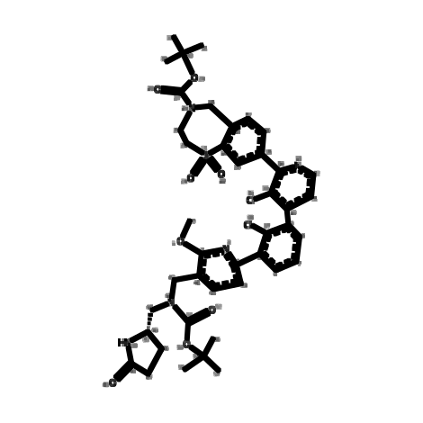 COc1nc(-c2cccc(-c3ccnc(-c4ccc5c(c4)S(=O)(=O)CCN(C(=O)OC(C)(C)C)C5)c3Cl)c2Cl)ccc1CN(C[C@@H]1CCC(=O)N1)C(=O)OC(C)(C)C